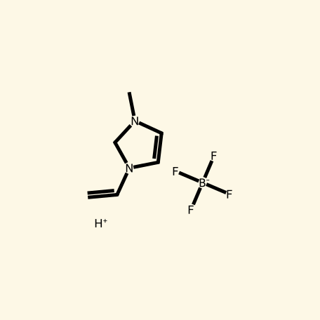 C=CN1C=CN(C)C1.F[B-](F)(F)F.[H+]